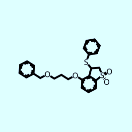 O=S1(=O)CC(Sc2ccccc2)c2c(OCCCOCc3ccccc3)cccc21